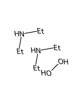 CCNCC.CCNCC.OO